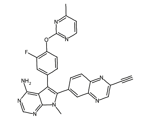 C#Cc1cnc2cc(-c3c(-c4ccc(Oc5nccc(C)n5)c(F)c4)c4c(N)ncnc4n3C)ccc2n1